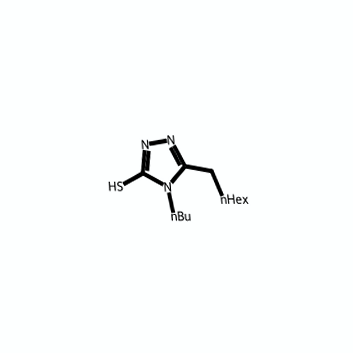 CCCCCCCc1nnc(S)n1CCCC